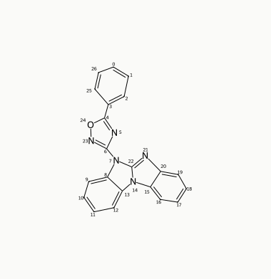 c1ccc(-c2nc(-n3c4ccccc4n4c5ccccc5nc34)no2)cc1